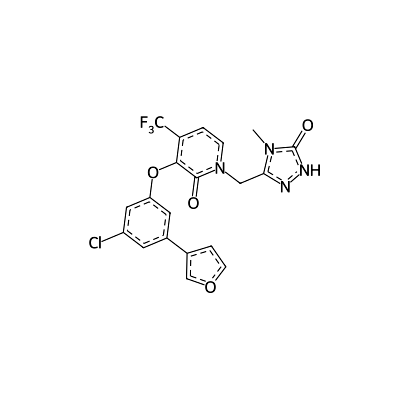 Cn1c(Cn2ccc(C(F)(F)F)c(Oc3cc(Cl)cc(-c4ccoc4)c3)c2=O)n[nH]c1=O